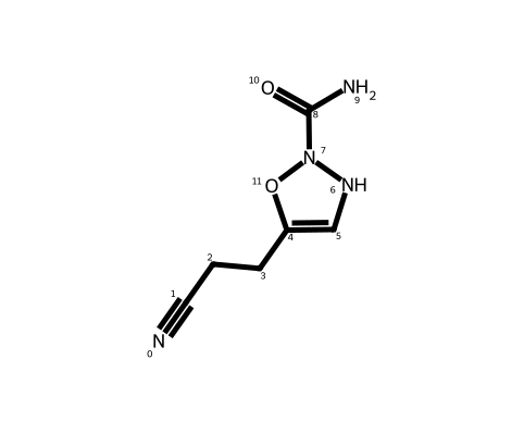 N#CCCC1=CNN(C(N)=O)O1